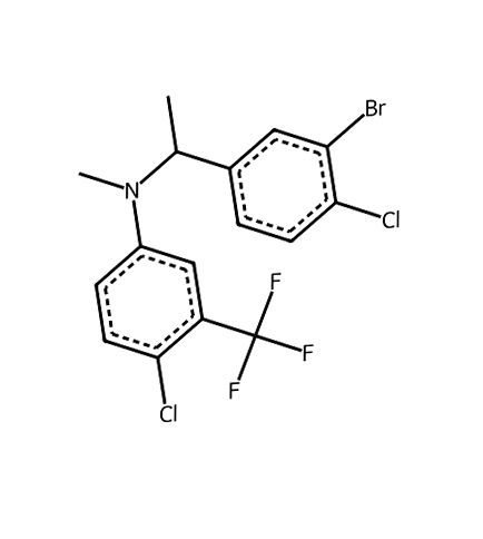 CC(c1ccc(Cl)c(Br)c1)N(C)c1ccc(Cl)c(C(F)(F)F)c1